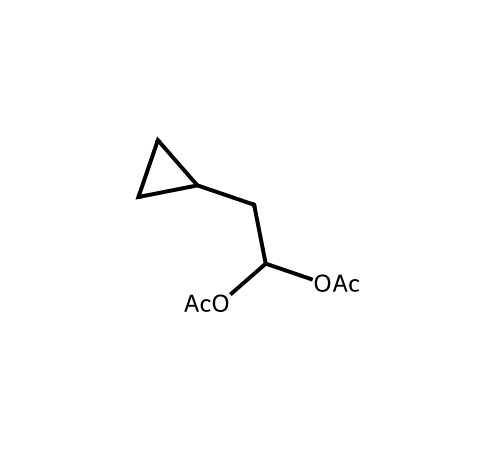 CC(=O)OC(CC1CC1)OC(C)=O